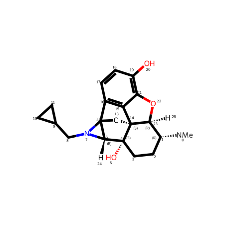 CN[C@@H]1CC[C@@]2(O)[C@@H]3N(CC4CC4)C34C[C@@]23c2c4ccc(O)c2O[C@@H]13